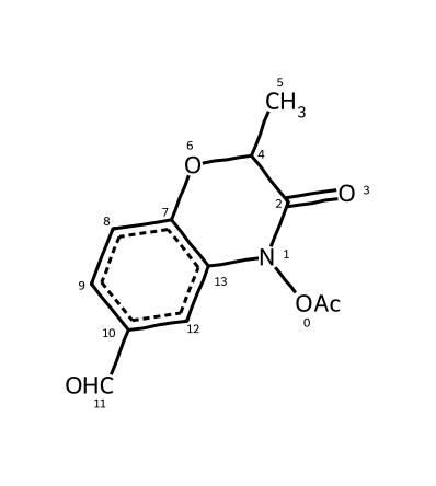 CC(=O)ON1C(=O)C(C)Oc2ccc(C=O)cc21